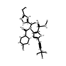 CCc1noc(C(C)N(C(=O)C2CCC(C)CC2)c2cc(C#CC(C)(C)C)sc2C(=O)OC)n1